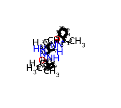 CC[C@@H](NC(=O)N1Cc2c(NC(=O)C3([Si](C)(C)C)CCC3)n[nH]c2C1(C)C)c1ccccc1